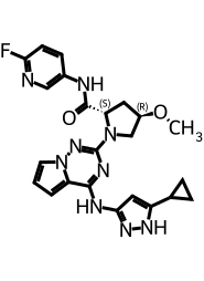 CO[C@@H]1C[C@@H](C(=O)Nc2ccc(F)nc2)N(c2nc(Nc3cc(C4CC4)[nH]n3)c3cccn3n2)C1